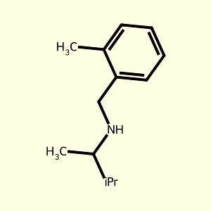 Cc1ccccc1CNC(C)C(C)C